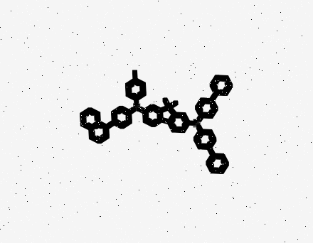 Cc1ccc(N(c2ccc(-c3cccc4ccccc34)cc2)c2ccc3c(c2)C(C)(C)c2cc(N(c4ccc(-c5ccccc5)cc4)c4ccc(-c5ccccc5)cc4)ccc2-3)cc1